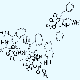 CCCC(Nc1ccc2ccccc2c1N)P(=O)(OCC)OCC.CCOP(=O)(OCC)C(C)Nc1ccc2ccccc2c1N.CCOP(=O)(OCC)C(CC)Nc1ccc2ccccc2c1N.CCOP(=O)(OCC)C(Nc1ccc2ccccc2c1N)c1ccccc1